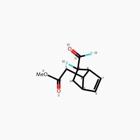 COC(=O)CC1C2C=CC1C(F)(C(=O)F)C2